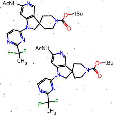 CC(=O)Nc1cc2c(cn1)C1(CCN(C(=O)OC(C)(C)C)CC1)CN2c1ccnc(C(C)(F)F)n1.CC(=O)Nc1cc2c(cn1)C1(CCN(C(=O)OC(C)(C)C)CC1)CN2c1ccnc(C(C)(F)F)n1